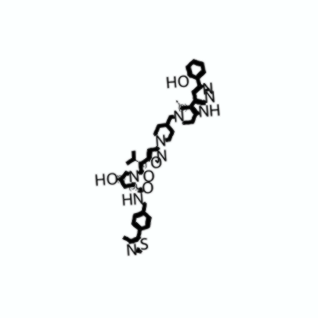 Cc1ncsc1-c1ccc(CNC(=O)[C@@H]2C[C@@H](O)CN2C(=O)[C@@H](c2cc(N3CCC(CN4CCc5[nH]c6nnc(-c7ccccc7O)cc6c5[C@H]4C)CC3)no2)C(C)C)cc1